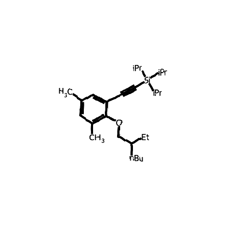 CCCCC(CC)COc1c(C)cc(C)cc1C#C[Si](C(C)C)(C(C)C)C(C)C